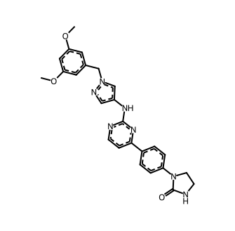 COc1cc(Cn2cc(Nc3nccc(-c4ccc(N5CCNC5=O)cc4)n3)cn2)cc(OC)c1